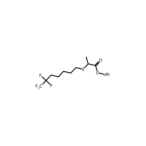 CCCOC(=O)C(C)SCCCCCC(F)(F)C(F)(F)F